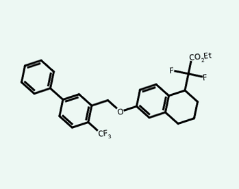 CCOC(=O)C(F)(F)C1CCCc2cc(OCc3cc(-c4ccccc4)ccc3C(F)(F)F)ccc21